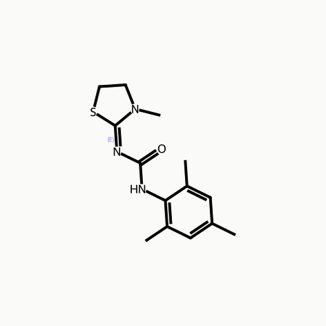 Cc1cc(C)c(NC(=O)/N=C2/SCCN2C)c(C)c1